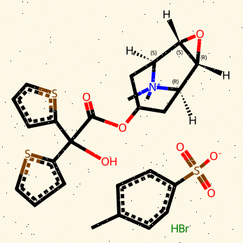 Br.C[N+]1(C)[C@@H]2CC(OC(=O)C(O)(c3cccs3)c3cccs3)C[C@H]1[C@@H]1O[C@@H]12.Cc1ccc(S(=O)(=O)[O-])cc1